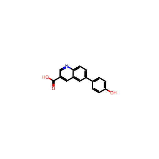 O=C(O)c1cnc2ccc(-c3ccc(O)cc3)cc2c1